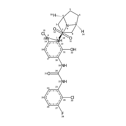 CCCN[C@H]1C[C@H]2CC[C@@H](C1)N2S(=O)(=O)c1c(Cl)ccc(NC(=O)Nc2cccc(F)c2Cl)c1O